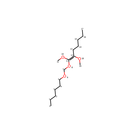 CCCCCCOCO/C(OC)=C(/CCCCC)OC